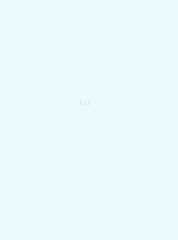 C=CCNCC=C(Cl)Cl